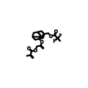 C=C(COC(=O)C(=C)C)OC12CC3CC(CC(COC(=O)C(C)(F)F)(C3)C1)C2